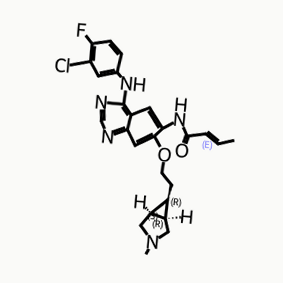 C/C=C/C(=O)Nc1cc2c(Nc3ccc(F)c(Cl)c3)ncnc2cc1OCC[C@H]1[C@H]2CN(C)C[C@@H]12